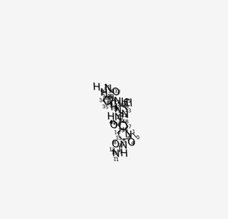 CCN1C(=O)C(NC(=O)CN(C)C)CCc2c1ccc(Nc1ncc(Cl)c(NC3[C@@H](C(N)=O)[C@@H]4C=C[C@H]3C4)n1)c2OC